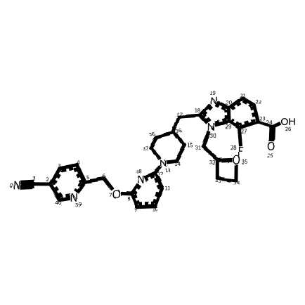 N#Cc1ccc(COc2cccc(N3CCC(Cc4nc5ccc(C(=O)O)c(F)c5n4CC4CCO4)CC3)n2)nc1